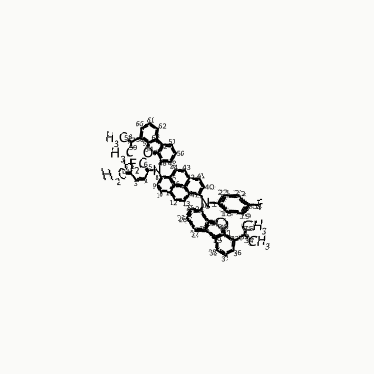 C=C(F)/C=C\C(=C)N(c1ccc2ccc3c(N(c4ccc(F)cc4)c4cccc5c4oc4c(C(C)C)cccc45)ccc4ccc1c2c43)c1cccc2c1oc1c(C(C)C)cccc12